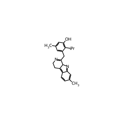 Cc1cc(O)c(C(C)C)c(CC2=NCCC3=c4ccc(C)cc4=NC23)c1